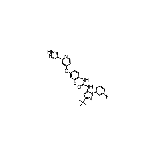 CC(C)(C)c1cc(NC(=O)Nc2ccc(Oc3ccnc(-c4cn[nH]c4)c3)cc2F)n(-c2cccc(F)c2)n1